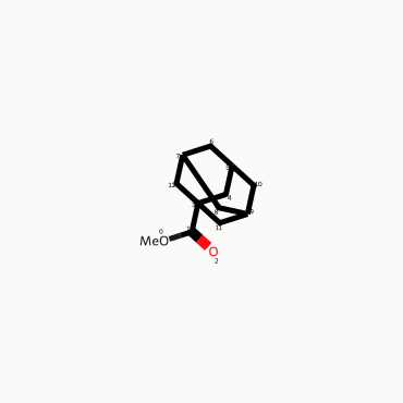 COC(=O)C12CC3CC(CC(C3)C1)C2